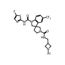 CC(=O)N1CC(CNC(=O)N2CCC3(C2)CN(C(=O)Nc2ncc(F)s2)c2ccc(C(F)(F)F)cc23)C1